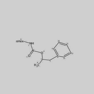 CCCCCCNC(=O)OC(C)Cc1ccccc1